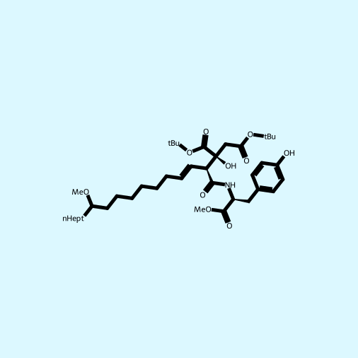 CCCCCCCC(CCCCCC/C=C/[C@H](C(=O)N[C@@H](Cc1ccc(O)cc1)C(=O)OC)[C@@](O)(CC(=O)OC(C)(C)C)C(=O)OC(C)(C)C)OC